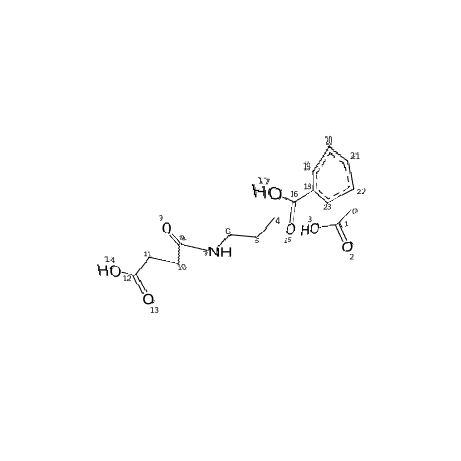 CC(=O)O.CCCNC(=O)CCC(=O)O.O=C(O)c1ccccc1